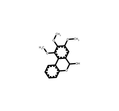 COc1cc2c(c(OC)c1OC)-c1ccccc1OC2O